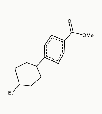 CCC1CCC(c2ccc(C(=O)OC)cc2)CC1